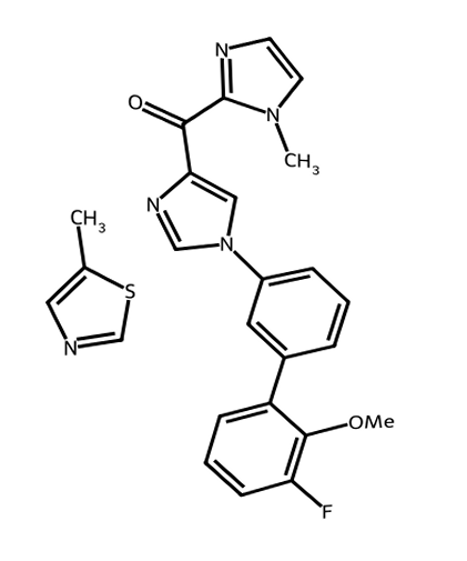 COc1c(F)cccc1-c1cccc(-n2cnc(C(=O)c3nccn3C)c2)c1.Cc1cncs1